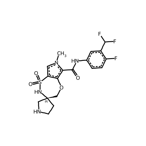 Cn1cc2c(c1C(=O)Nc1ccc(F)c(C(F)F)c1)OC[C@]1(CCNC1)NS2(=O)=O